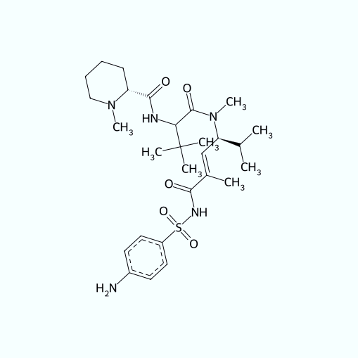 C/C(=C\[C@H](C(C)C)N(C)C(=O)C(NC(=O)[C@H]1CCCCN1C)C(C)(C)C)C(=O)NS(=O)(=O)c1ccc(N)cc1